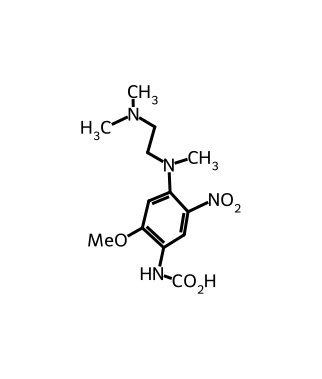 COc1cc(N(C)CCN(C)C)c([N+](=O)[O-])cc1NC(=O)O